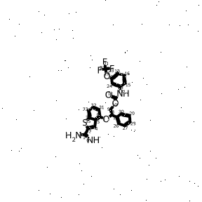 N=C(N)c1cc2c(OC(COC(=O)Nc3cccc(OC(F)(F)F)c3)c3ccccc3)cccc2s1